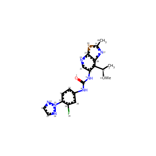 CO[C@H](C)c1c(NC(=O)Nc2ccc(-n3nccn3)c(F)c2)cnc2sc(C)nc12